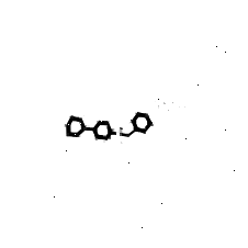 COc1ccc(C[Si](C)(C)c2ccc(-c3ccccc3)cc2)cc1